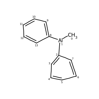 [CH3][Al]([c]1ccccc1)[c]1ccccc1